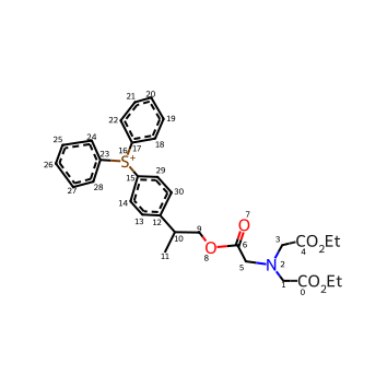 CCOC(=O)CN(CC(=O)OCC)CC(=O)OCC(C)c1ccc([S+](c2ccccc2)c2ccccc2)cc1